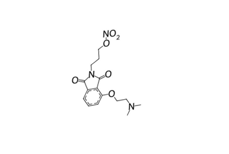 CN(C)CCOc1cccc2c1C(=O)N(CCCO[N+](=O)[O-])C2=O